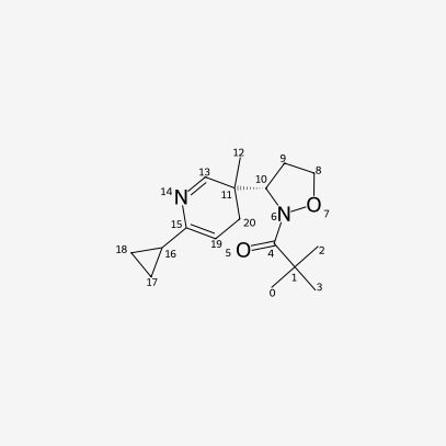 CC(C)(C)C(=O)N1OCC[C@H]1C1(C)C=NC(C2CC2)=CC1